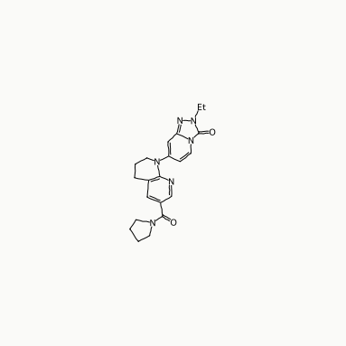 CCn1nc2cc(N3CCCc4cc(C(=O)N5CCCC5)cnc43)ccn2c1=O